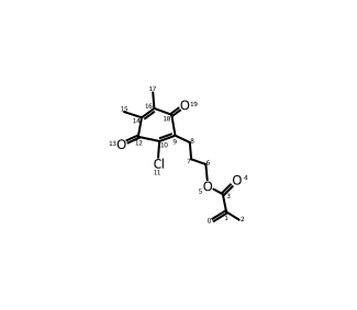 C=C(C)C(=O)OCCCC1=C(Cl)C(=O)C(C)=C(C)C1=O